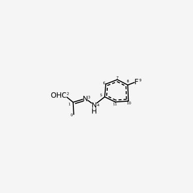 CC(C=O)=NNc1ccc(F)cc1